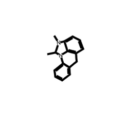 CC1N(C)c2cccc3c2N1c1ccccc1C3